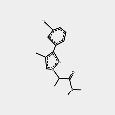 Cc1cn(C(C)C(=O)N(C)C)nc1-c1cccc(Cl)c1